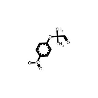 CC(C)(C=O)Oc1ccc([N+](=O)[O-])cc1